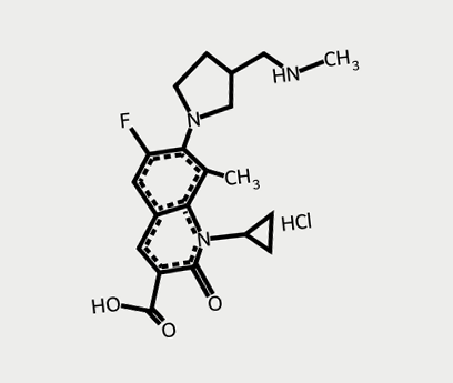 CNCC1CCN(c2c(F)cc3cc(C(=O)O)c(=O)n(C4CC4)c3c2C)C1.Cl